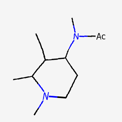 CC(=O)N(C)C1CCN(C)C(C)C1C